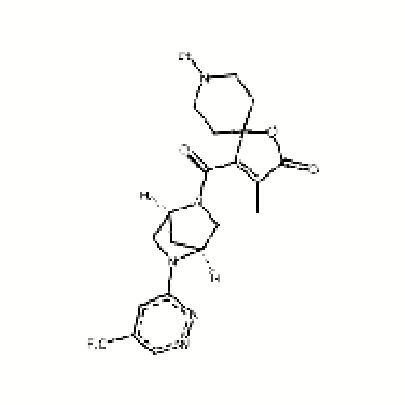 CCN1CCC2(CC1)OC(=O)C(C)=C2C(=O)N1C[C@@H]2C[C@H]1CN2c1cc(C(F)(F)F)cnn1